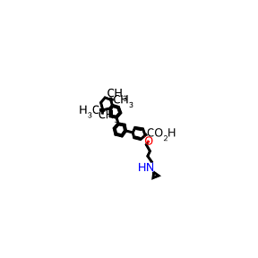 CC1(C)CCC(C)(C)c2cc(-c3cccc(C4C=CC(OCCCCNC5CC5)(C(=O)O)C=C4)c3)ccc21